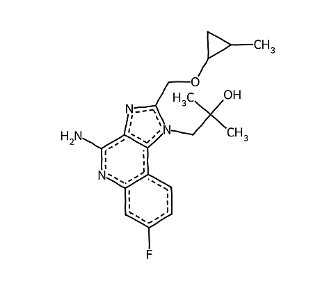 CC1CC1OCc1nc2c(N)nc3cc(F)ccc3c2n1CC(C)(C)O